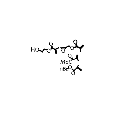 C=C(C)C(=O)OC.C=C(C)C(=O)OCC1CO1.C=C(C)C(=O)OCCCC.C=C(C)C(=O)OCCO